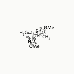 COc1cc(C)c2nc(-c3cc(C)cc4nc(OC)cnc34)sc2c1